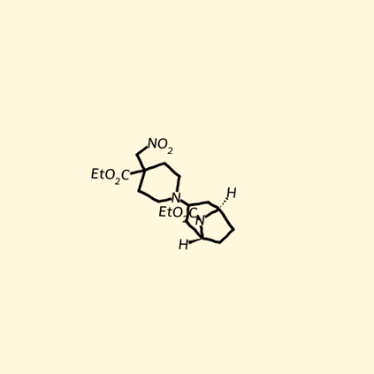 CCOC(=O)N1[C@@H]2CC[C@@H]1CC(N1CCC(C[N+](=O)[O-])(C(=O)OCC)CC1)C2